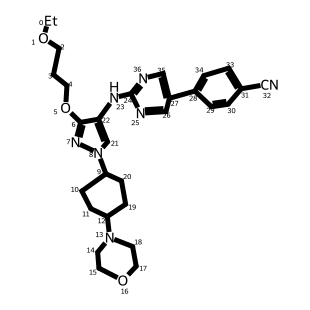 CCOCCCOc1nn(C2CCC(N3CCOCC3)CC2)cc1Nc1ncc(-c2ccc(C#N)cc2)cn1